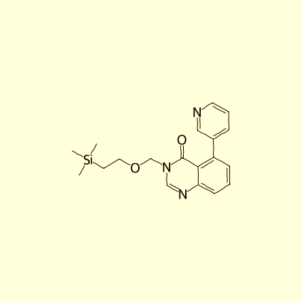 C[Si](C)(C)CCOCn1cnc2cccc(-c3cccnc3)c2c1=O